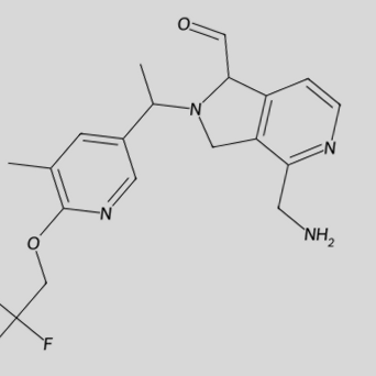 Cc1cc(C(C)N2Cc3c(ccnc3CN)C2C=O)cnc1OCC(F)(F)F